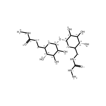 NNC(=O)NCC1O[C@H](O[C@H]2OC(CSC(=O)NN)[C@@H](O)C(O)C2O)C(O)C(O)[C@@H]1O